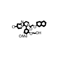 COc1ccc(C2c3c(nc4cc(Cl)ccn34)CCN2C(=O)COc2ccc3ccccc3c2)cc1OCCO